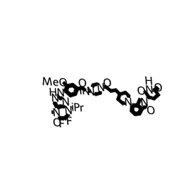 COc1cc(C(=O)NN2CCN(C(=O)CCC3CCN(c4cccc5c4CN(C4CCC(=O)NC4=O)C5=O)CC3)CC2)ccc1Nc1ncc2c(n1)N(C(C)C)CC(F)(F)C(=O)N2C